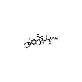 COC(=O)NC[C@@H]1OC(=O)N2c3cc(F)c(N4C5CCC4CSC5)cc3OC[C@@H]12